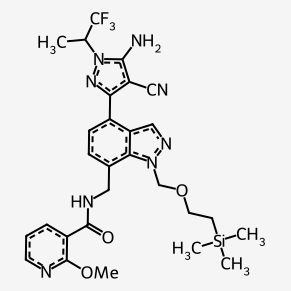 COc1ncccc1C(=O)NCc1ccc(-c2nn(C(C)C(F)(F)F)c(N)c2C#N)c2cnn(COCC[Si](C)(C)C)c12